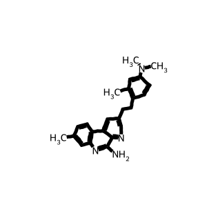 Cc1ccc2c(c1)nc(N)c1ncc(CCc3ccc(N(C)C)cc3C)cc12